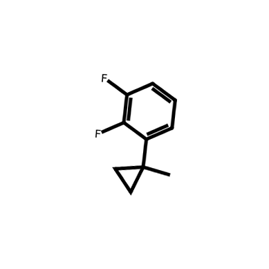 CC1(c2cccc(F)c2F)CC1